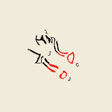 [O]=[InH].[O]=[Zr]